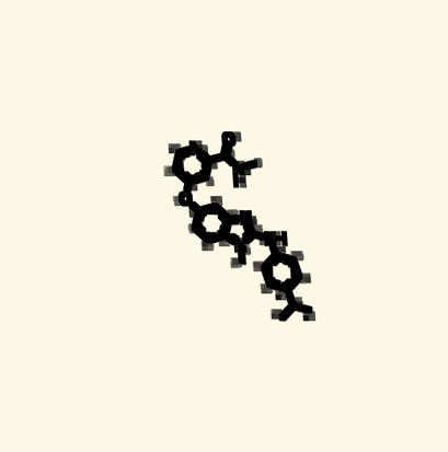 CNC(=O)c1cc(Oc2ccc3c(c2)nc(Nc2ccc(C(C)C)cc2)n3C)ccn1